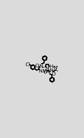 CN[C@H](Cc1ccc(Cl)cc1)C(=O)N(CCc1ccccc1)C[C@@H]1CCCN1C(=O)[C@H](CCc1ccccc1)NC(=O)[C@H](C)N(C)C